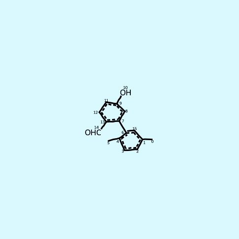 Cc1ccc(C)c(-c2cc(O)ccc2C=O)c1